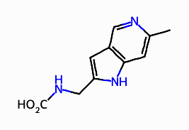 Cc1cc2[nH]c(CNC(=O)O)cc2cn1